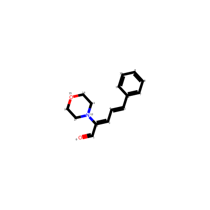 O=CC(=CC=Cc1ccccc1)N1CCOCC1